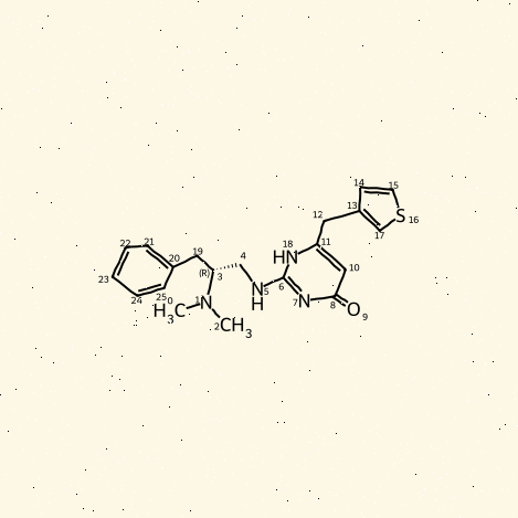 CN(C)[C@@H](CNc1nc(=O)cc(Cc2ccsc2)[nH]1)Cc1ccccc1